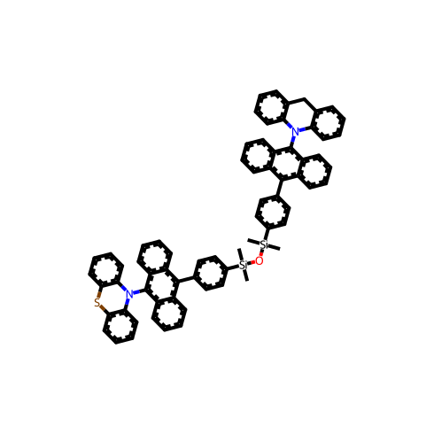 C[Si](C)(O[Si](C)(C)c1ccc(-c2c3ccccc3c(N3c4ccccc4Sc4ccccc43)c3ccccc23)cc1)c1ccc(-c2c3ccccc3c(N3c4ccccc4Cc4ccccc43)c3ccccc23)cc1